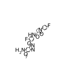 CCOc1cc2ncnc(Oc3ccc(NC(=O)C4CCN(c5ccc(F)cc5)C4=O)cc3F)c2cc1N